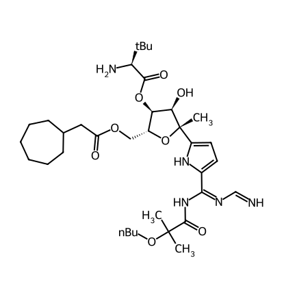 CCCCOC(C)(C)C(=O)N/C(=N/C=N)c1ccc([C@]2(C)O[C@H](COC(=O)CC3CCCCCC3)[C@@H](OC(=O)[C@@H](N)C(C)(C)C)[C@H]2O)[nH]1